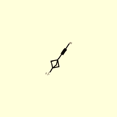 CC(C)C#CC12CC(C(F)(F)F)(C1)C2